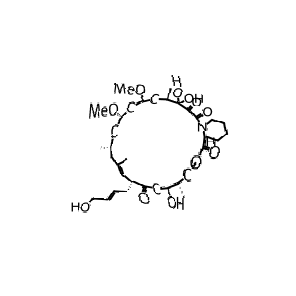 CO[C@@H]1C[C@@H](OC)C[C@@H](C)C/C(C)=C/[C@@H](C/C=C/CO)C(=O)C[C@H](O)[C@@H](C)COC(=O)[C@@H]2CCCCN2C(=O)C(=O)C(O)(O)[C@H](C)C1